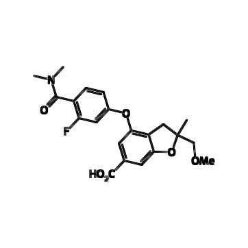 COCC1(C)Cc2c(Oc3ccc(C(=O)N(C)C)c(F)c3)cc(C(=O)O)cc2O1